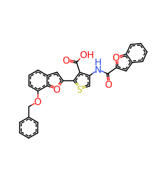 O=C(Nc1csc(-c2cc3cccc(OCc4ccccc4)c3o2)c1C(=O)O)c1cc2ccccc2o1